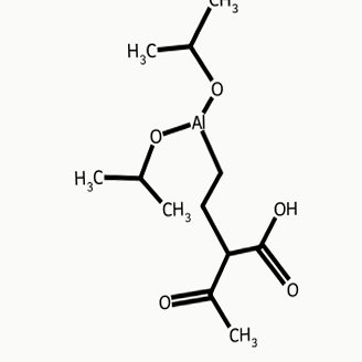 CC(=O)C(C[CH2][Al]([O]C(C)C)[O]C(C)C)C(=O)O